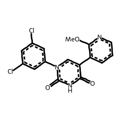 COc1ncccc1-c1cn(-c2cc(Cl)cc(Cl)c2)c(=O)[nH]c1=O